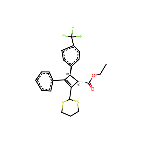 CCOC(=O)[C@@H]1C(C2SCCCS2)=C(c2ccccc2)[C@H]1c1ccc(C(F)(F)F)cc1